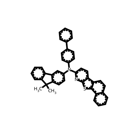 CC1(C)c2ccccc2-c2cc(N(c3ccc(-c4ccccc4)cc3)c3ccc4c(n3)sc3c5ccccc5ccc43)ccc21